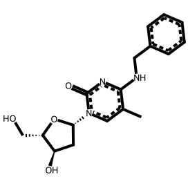 Cc1cn([C@@H]2C[C@@H](O)[C@H](CO)O2)c(=O)nc1NCc1ccccc1